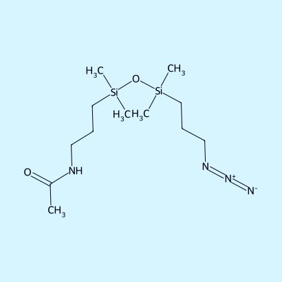 CC(=O)NCCC[Si](C)(C)O[Si](C)(C)CCCN=[N+]=[N-]